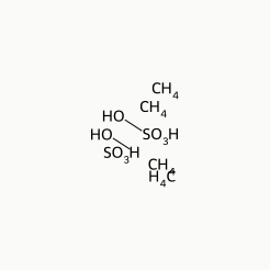 C.C.C.C.O=S(=O)(O)O.O=S(=O)(O)O